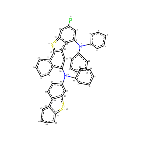 Clc1cc(N(c2ccccc2)c2ccccc2)c2c(c1)sc1c3ccccc3c(N(c3ccccc3)c3ccc4c(c3)sc3ccccc34)cc12